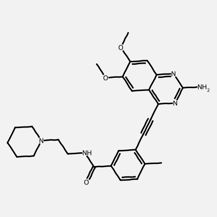 COc1cc2nc(N)nc(C#Cc3cc(C(=O)NCCN4CCCCC4)ccc3C)c2cc1OC